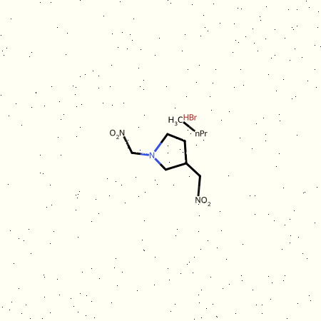 Br.CCCC.O=[N+]([O-])CC1CCN(C[N+](=O)[O-])C1